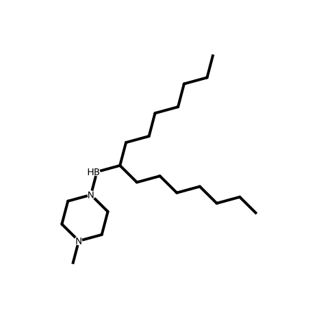 CCCCCCCC(BN1CCN(C)CC1)CCCCCCC